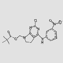 CC(C)(C)C(=O)OCN1CCc2c(Nc3cccc([N+](=O)[O-])c3)nc(Cl)nc21